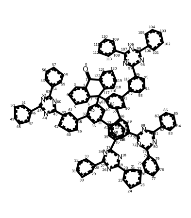 O=C1c2ccccc2C(c2cc(-c3cccc(-c4nc(-c5ccccc5)nc(-c5ccccc5)n4)c3)cc(-c3cccc(-c4nc(-c5ccccc5)nc(-c5ccccc5)n4)c3)c2)(c2cc(-c3cccc(-c4nc(-c5ccccc5)nc(-c5ccccc5)n4)c3)cc(-c3cccc(-c4nc(-c5ccccc5)nc(-c5ccccc5)n4)c3)c2)c2ccccc21